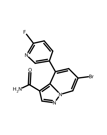 NC(=O)c1cnn2cc(Br)cc(-c3ccc(F)nc3)c12